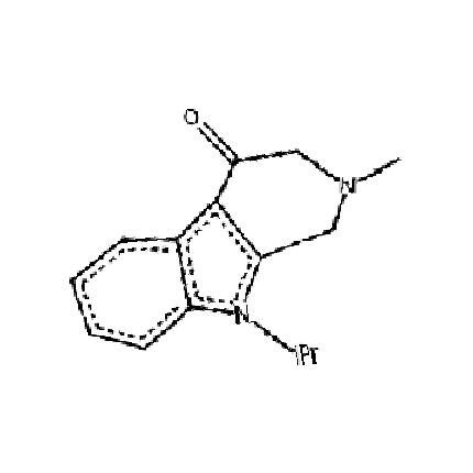 CC(C)n1c2c(c3ccccc31)C(=O)CN(C)C2